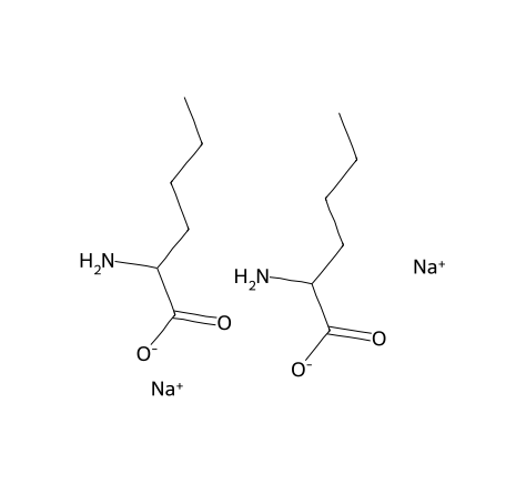 CCCCC(N)C(=O)[O-].CCCCC(N)C(=O)[O-].[Na+].[Na+]